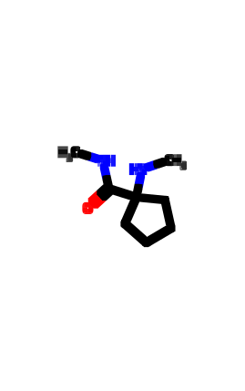 CNC(=O)C1(NC)CCCC1